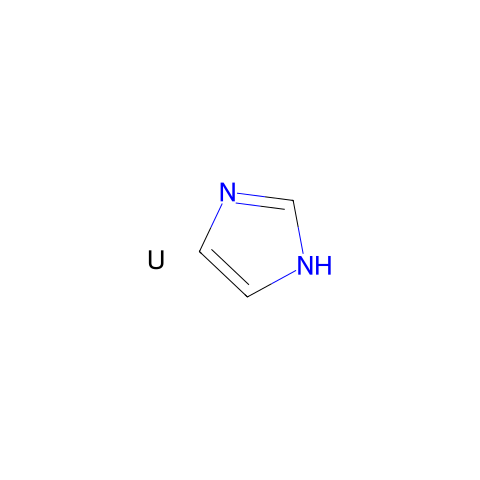 [U].c1c[nH]cn1